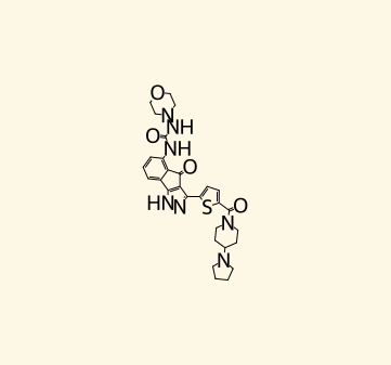 O=C(Nc1cccc2c1C(=O)c1c(-c3ccc(C(=O)N4CCC(N5CCCC5)CC4)s3)n[nH]c1-2)NN1CCOCC1